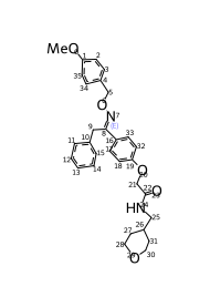 COc1ccc(CO/N=C(\Cc2ccccc2)c2ccc(OCC(=O)NCC3CCOCC3)cc2)cc1